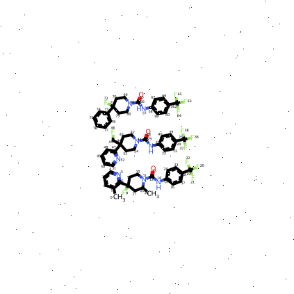 Cc1cccnc1C1(F)CCN(C(=O)Nc2ccc(C(F)(F)F)cc2)C(C)C1.O=C(Nc1ccc(C(F)(F)F)cc1)N1CCC(CF)(c2ccccn2)CC1.O=C(Nc1ccc(C(F)(F)F)cc1)N1CCC(F)(c2ccccc2)CC1